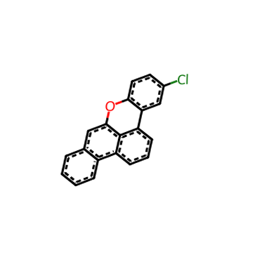 Clc1ccc2c(c1)-c1cccc3c1c(cc1ccccc13)O2